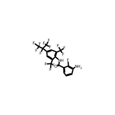 Nc1cccc(C(=O)Nc2c(C(F)(F)F)cc(C(F)(C(F)(F)F)C(F)(F)F)cc2C(F)(F)F)c1F